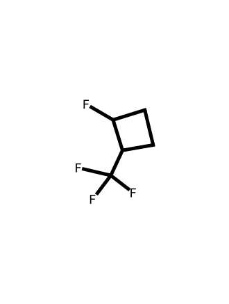 FC1CCC1C(F)(F)F